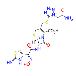 N=c1[nH]c(C(=NO)C(=O)NC2C(=O)N3C(C(=O)O)=C(CSc4nnnn4CC(N)=O)CS[C@@H]23)cs1